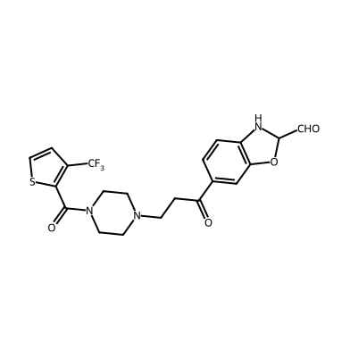 O=CC1Nc2ccc(C(=O)CCN3CCN(C(=O)c4sccc4C(F)(F)F)CC3)cc2O1